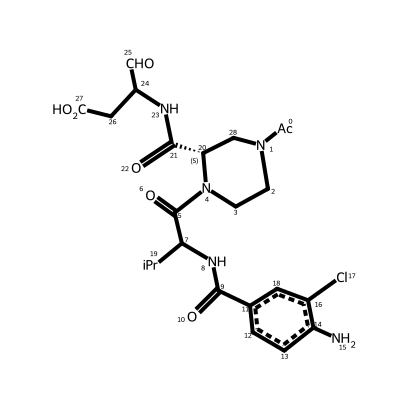 CC(=O)N1CCN(C(=O)C(NC(=O)c2ccc(N)c(Cl)c2)C(C)C)[C@H](C(=O)NC(C=O)CC(=O)O)C1